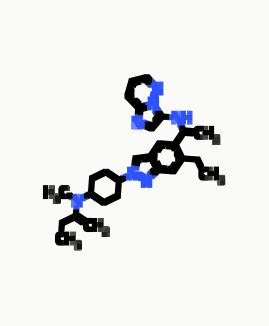 C=C(Nc1cnc2cccnn12)c1cc2cn(C3CCC(N(C)C(=C)CC)CC3)nc2cc1CC